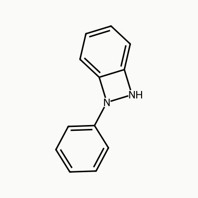 c1ccc(-n2[nH]c3ccccc32)cc1